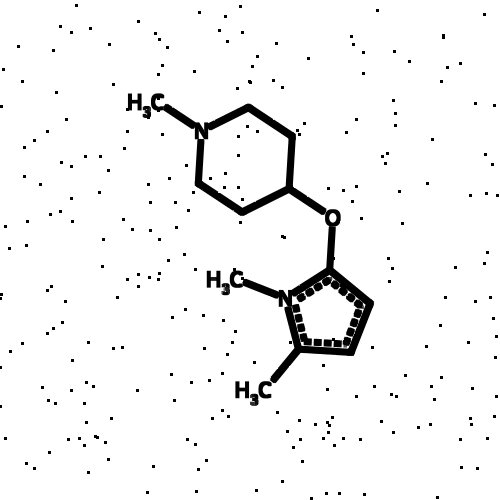 Cc1ccc(OC2CCN(C)CC2)n1C